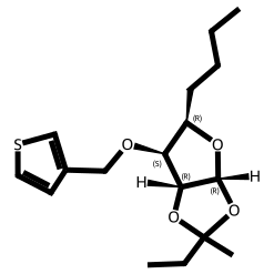 CCCC[C@H]1O[C@@H]2OC(C)(CC)O[C@@H]2[C@H]1OCc1ccsc1